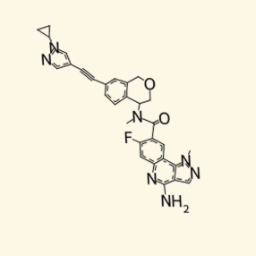 CN(C(=O)c1cc2c(cc1F)nc(N)c1cnn(C)c12)C1COCc2cc(C#Cc3cnn(C4CC4)c3)ccc21